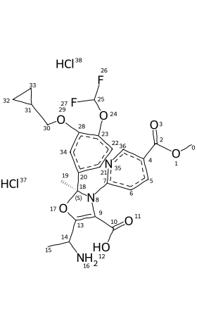 COC(=O)c1ccc(N2C(C(=O)O)=C(C(C)N)O[C@@]2(C)c2ccc(OC(F)F)c(OCC3CC3)c2)nc1.Cl.Cl